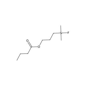 CCCC(=O)OCCC[Si](C)(C)F